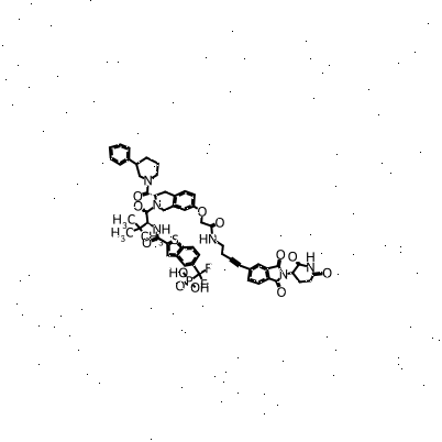 CC(C)(C)[C@H](NC(=O)c1cc2cc(C(F)(F)P(=O)(O)O)ccc2s1)C(=O)N1Cc2cc(OCC(=O)NCCC#Cc3ccc4c(c3)C(=O)N(C3CCC(=O)NC3=O)C4=O)ccc2C[C@H]1C(=O)N1CCCC(c2ccccc2)C1